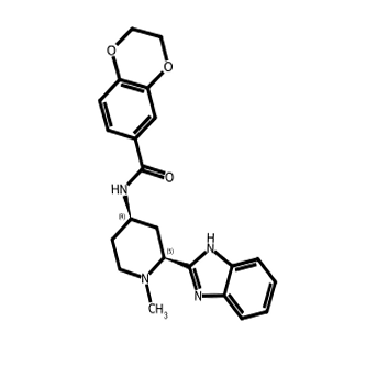 CN1CC[C@@H](NC(=O)c2ccc3c(c2)OCCO3)C[C@H]1c1nc2ccccc2[nH]1